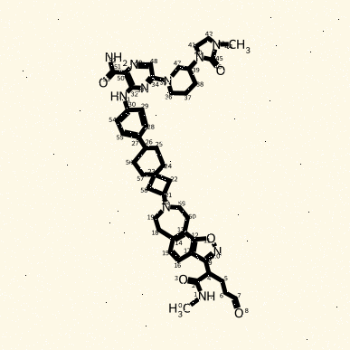 CNC(=O)C(CCC=O)c1noc2c3c(ccc12)CCN(C1CC2(CCC(c4ccc(Nc5nc(N6CCCC(N7CCN(C)C7=O)C6)cnc5C(N)=O)cc4)CC2)C1)CC3